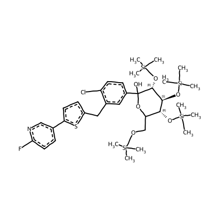 C[Si](C)(C)OCC1OC(O)(c2ccc(Cl)c(Cc3ccc(-c4ccc(F)nc4)s3)c2)[C@H](O[Si](C)(C)C)[C@@H](O[Si](C)(C)C)[C@@H]1O[Si](C)(C)C